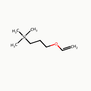 C=COCCC[Si](C)(C)C